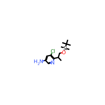 CC(CO[Si](C)(C)C(C)(C)C)c1ncc(N)cc1Cl